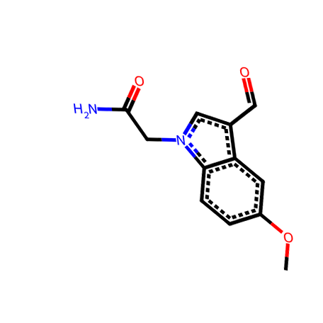 COc1ccc2c(c1)c(C=O)cn2CC(N)=O